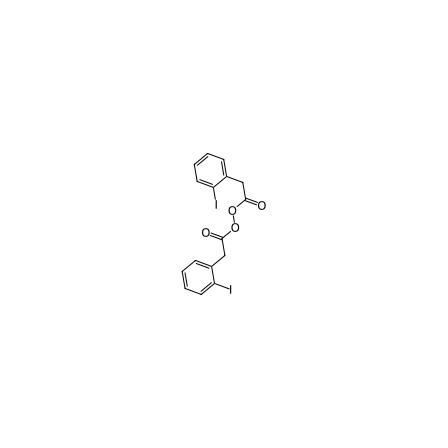 O=C(Cc1ccccc1I)OOC(=O)Cc1ccccc1I